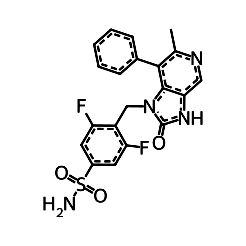 Cc1ncc2[nH]c(=O)n(Cc3c(F)cc(S(N)(=O)=O)cc3F)c2c1-c1ccccc1